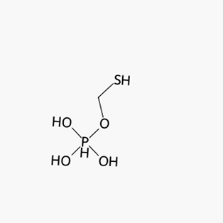 O[PH](O)(O)OCS